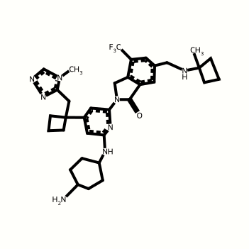 Cn1cnnc1CC1(c2cc(NC3CCC(N)CC3)nc(N3Cc4c(cc(CNC5(C)CCC5)cc4C(F)(F)F)C3=O)c2)CCC1